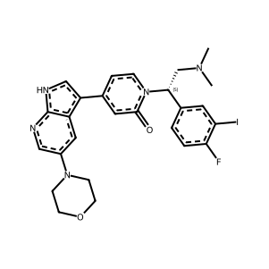 CN(C)C[C@H](c1ccc(F)c(I)c1)n1ccc(-c2c[nH]c3ncc(N4CCOCC4)cc23)cc1=O